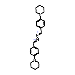 C(=N\N=C\c1ccc(N2CCCCC2)cc1)/c1ccc(N2CCCCC2)cc1